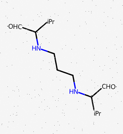 CC(C)[C]([C]=O)NCCCN[C]([C]=O)C(C)C